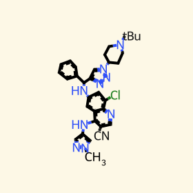 Cn1cc(Nc2c(C#N)cnc3c(Cl)cc(NC(c4ccccc4)c4cn(C5CCN(C(C)(C)C)CC5)nn4)cc23)cn1